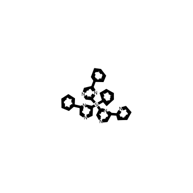 c1ccc(-c2cncc([Si](c3ccccc3)(c3cncc(-c4ccccc4)n3)c3cncc(-c4ccccn4)n3)n2)cc1